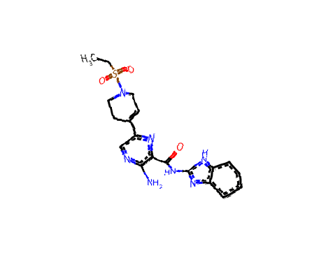 CCS(=O)(=O)N1CC=C(c2cnc(N)c(C(=O)Nc3nc4ccccc4[nH]3)n2)CC1